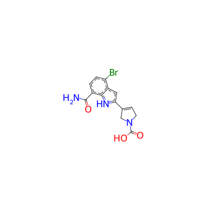 NC(=O)c1ccc(Br)c2cc(C3=CCN(C(=O)O)C3)[nH]c12